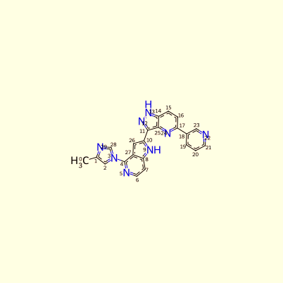 Cc1cn(-c2nccc3[nH]c(-c4n[nH]c5ccc(-c6cccnc6)nc45)cc23)cn1